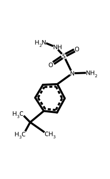 CC(C)(C)c1ccc(N(N)S(=O)(=O)NN)cc1